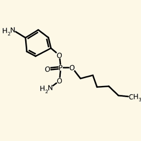 CCCCCCOP(=O)(ON)Oc1ccc(N)cc1